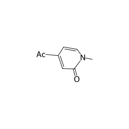 CC(=O)c1ccn(C)c(=O)c1